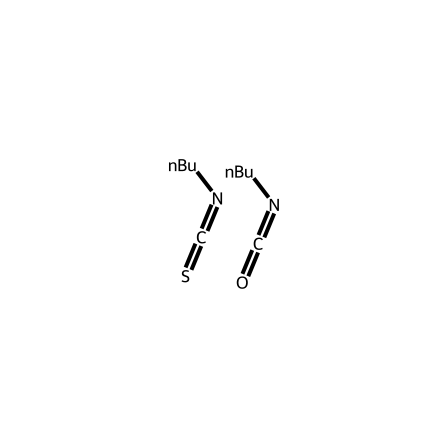 CCCCN=C=O.CCCCN=C=S